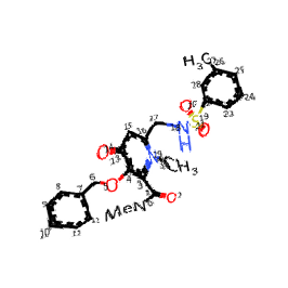 CNC(=O)c1c(OCc2ccccc2)c(=O)cc(CNS(=O)(=O)c2cccc(C)c2)n1C